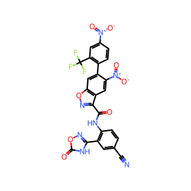 N#Cc1ccc(NC(=O)c2noc3cc(-c4ccc([N+](=O)[O-])cc4C(F)(F)F)c([N+](=O)[O-])cc23)c(-c2noc(=O)[nH]2)c1